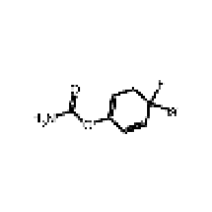 NC(=O)OC1=CCC(F)(Br)C=C1